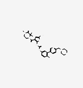 Cc1ccc(NC(=O)Nc2sc(C(C)(C)C)cc2C(=O)N2CCN(C)C(=O)C2(C)C)cc1-c1ccc(CN2CCOCC2)nc1